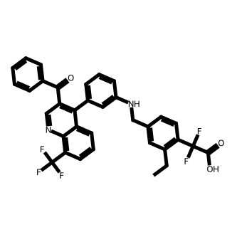 CCc1cc(CNc2cccc(-c3c(C(=O)c4ccccc4)cnc4c(C(F)(F)F)cccc34)c2)ccc1C(F)(F)C(=O)O